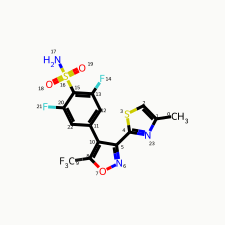 Cc1csc(-c2noc(C(F)(F)F)c2-c2cc(F)c(S(N)(=O)=O)c(F)c2)n1